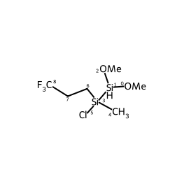 CO[SiH](OC)[Si](C)(Cl)CCC(F)(F)F